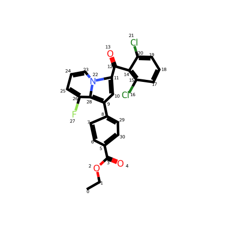 CCOC(=O)c1ccc(-c2cc(C(=O)c3c(Cl)cccc3Cl)n3cccc(F)c23)cc1